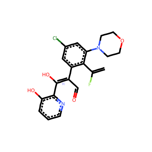 C=C(F)c1c(/C(C=O)=C(\O)c2ncccc2O)cc(Cl)cc1N1CCOCC1